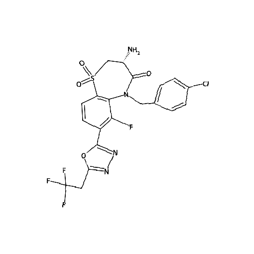 N[C@H]1CS(=O)(=O)c2ccc(-c3nnc(CC(F)(F)F)o3)c(F)c2N(Cc2ccc(Cl)cc2)C1=O